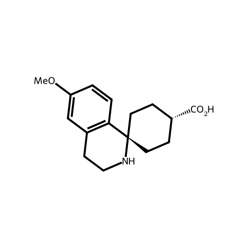 COc1ccc2c(c1)CCN[C@]21CC[C@@H](C(=O)O)CC1